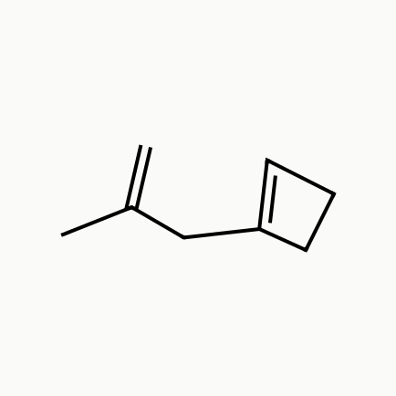 C=C(C)CC1=CCC1